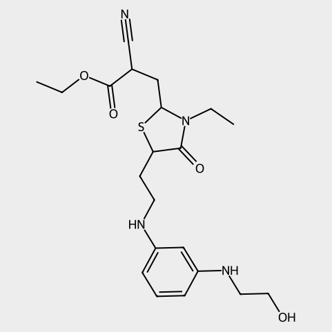 CCOC(=O)C(C#N)CC1SC(CCNc2cccc(NCCO)c2)C(=O)N1CC